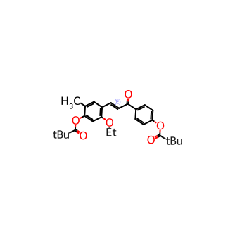 CCOc1cc(OC(=O)C(C)(C)C)c(C)cc1/C=C/C(=O)c1ccc(OC(=O)C(C)(C)C)cc1